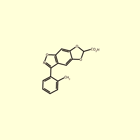 Cc1ccccc1-c1noc2cc3c(cc12)OC(C(=O)O)O3